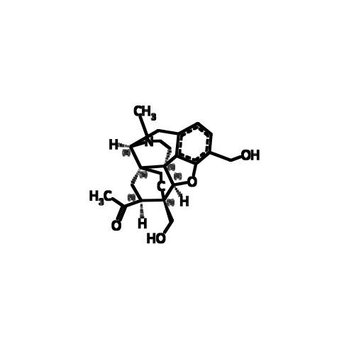 CC(=O)[C@H]1C[C@@]23CC[C@]1(CO)[C@@H]1Oc4c(CO)ccc5c4[C@@]12CCN(C)[C@@H]3C5